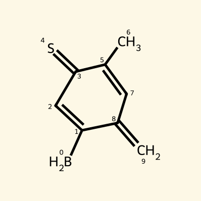 BC1=CC(=S)C(C)=CC1=C